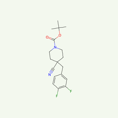 CC(C)(C)OC(=O)N1CCC(C#N)(Cc2ccc(F)c(F)c2)CC1